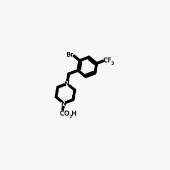 O=C(O)N1CCN(Cc2ccc(C(F)(F)F)cc2Br)CC1